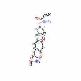 COC(=O)C(N)Cc1ccc(Oc2ccc(/C=C3/OC(=O)NC3=O)cc2)c(F)c1